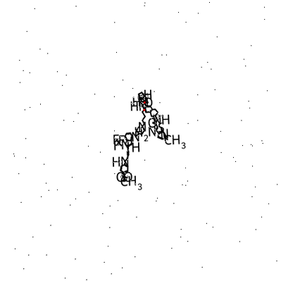 Cc1ccc2c(N)c(C(=O)N[C@H]3CCc4cc(N5C[C@H]6CC[C@@H](C5)C6C(=O)NCCCCCN5CCC(Nc6cccc7c6cc(C#CCNc6ccc(S(C)(=O)=O)cc6)n7CC(F)(F)F)CC5)ccc4C3)sc2n1